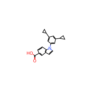 O=C(O)c1ccc2c(ccn2-c2cc(C3CC3)cc(C3CC3)c2)c1